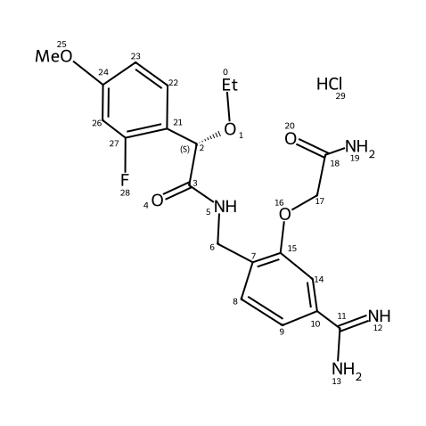 CCO[C@H](C(=O)NCc1ccc(C(=N)N)cc1OCC(N)=O)c1ccc(OC)cc1F.Cl